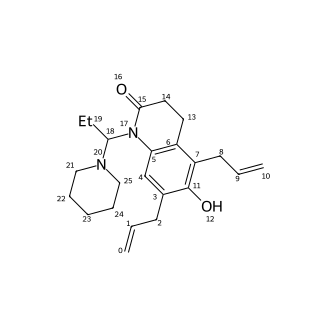 C=CCc1cc2c(c(CC=C)c1O)CCC(=O)N2C(CC)N1CCCCC1